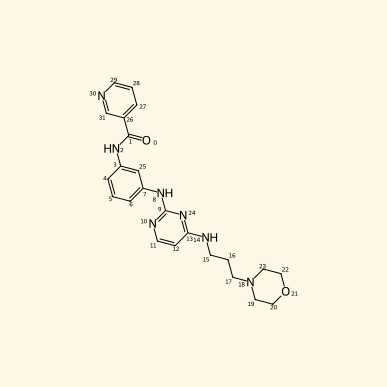 O=C(Nc1cccc(Nc2nccc(NCCCN3CCOCC3)n2)c1)c1cccnc1